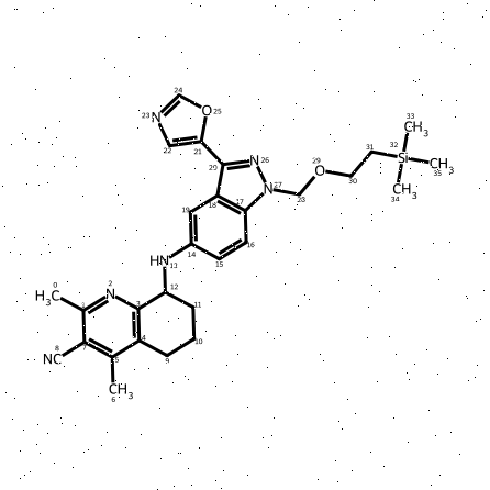 Cc1nc2c(c(C)c1C#N)CCCC2Nc1ccc2c(c1)c(-c1cnco1)nn2COCC[Si](C)(C)C